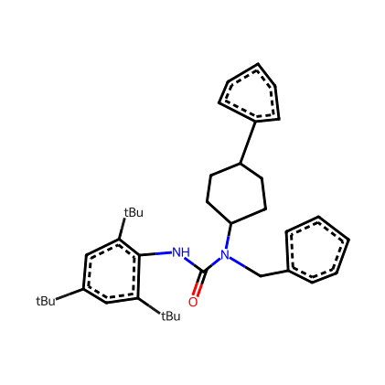 CC(C)(C)c1cc(C(C)(C)C)c(NC(=O)N(Cc2ccccc2)C2CCC(c3ccccc3)CC2)c(C(C)(C)C)c1